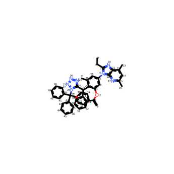 C=C1Oc2cc(-n3c(CC)nc4c(C)cc(C)nc43)cc(C)c2C(c2nnnn2C(c2ccccc2)(c2ccccc2)c2ccccc2)c2ccccc21